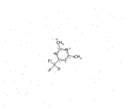 Cc1[c]c(C(F)(F)F)nc(C)n1